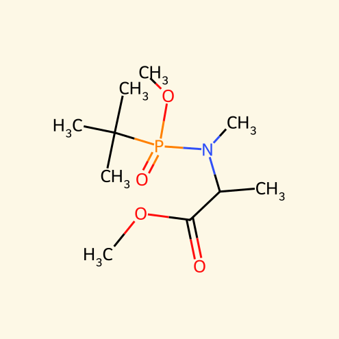 COC(=O)C(C)N(C)P(=O)(OC)C(C)(C)C